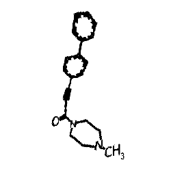 CN1CCN(C(=O)C#Cc2ccc(-c3ccccc3)cc2)CC1